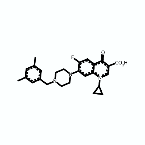 Cc1cc(C)cc(CN2CCN(c3cc4c(cc3F)c(=O)c(C(=O)O)cn4C3CC3)CC2)c1